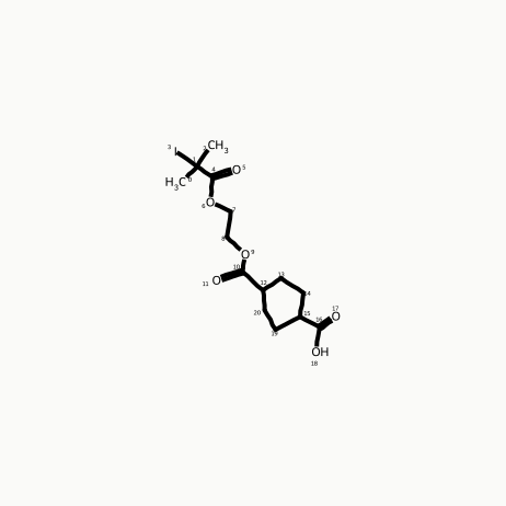 CC(C)(I)C(=O)OCCOC(=O)C1CCC(C(=O)O)CC1